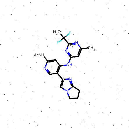 CC(=O)Nc1cc(Nc2cc(C)nc(C(C)(F)F)n2)c(-c2cn3c(n2)CCC3)cn1